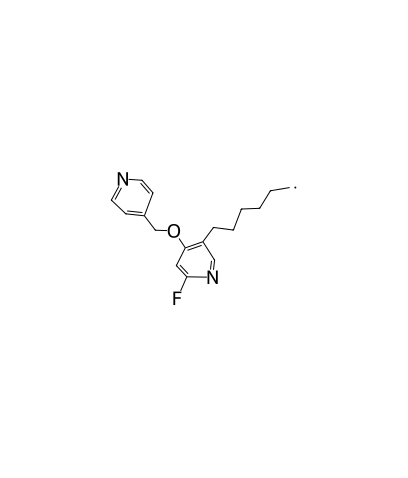 [CH2]CCCCCc1cnc(F)cc1OCc1ccncc1